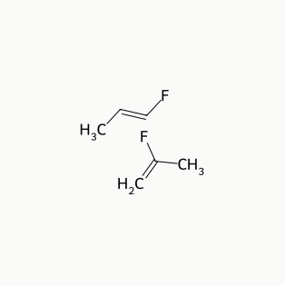 C=C(C)F.CC=CF